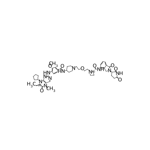 CC[C@@H]1C(=O)N(C)c2cnc(Nc3ccc(C(=O)NC4CCN(CCOCCN5CC[C@H]5C(=O)Nc5cccc6c5CN(C5CCC(=O)NC5=O)C6=O)CC4)cc3OC)nc2N1C1CCCC1